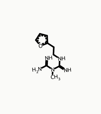 CN(C(=N)N)C(=N)NCCc1ccco1